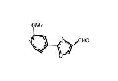 COc1cc(-c2nc(C=O)co2)ccn1